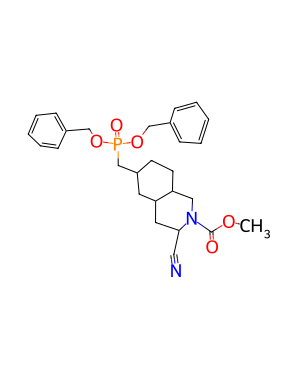 COC(=O)N1CC2CCC(CP(=O)(OCc3ccccc3)OCc3ccccc3)CC2CC1C#N